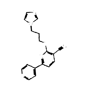 N#Cc1ccc(-c2ccncc2)nc1NCCCn1ccnc1